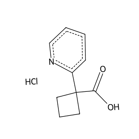 Cl.O=C(O)C1(c2ccccn2)CCC1